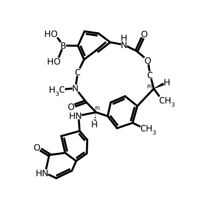 Cc1cc2ccc1[C@@H](C)COC(=O)Nc1ccc(B(O)O)c(c1)CN(C)C(=O)[C@@H]2Nc1ccc2cc[nH]c(=O)c2c1